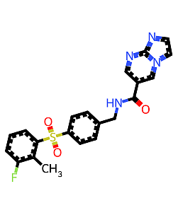 Cc1c(F)cccc1S(=O)(=O)c1ccc(CNC(=O)c2cnc3nccn3c2)cc1